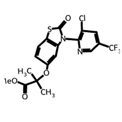 COC(=O)C(C)(C)Oc1ccc2sc(=O)n(-c3ncc(C(F)(F)F)cc3Cl)c2c1